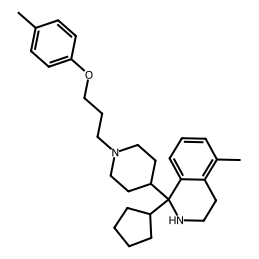 Cc1ccc(OCCCN2CCC(C3(C4CCCC4)NCCc4c(C)cccc43)CC2)cc1